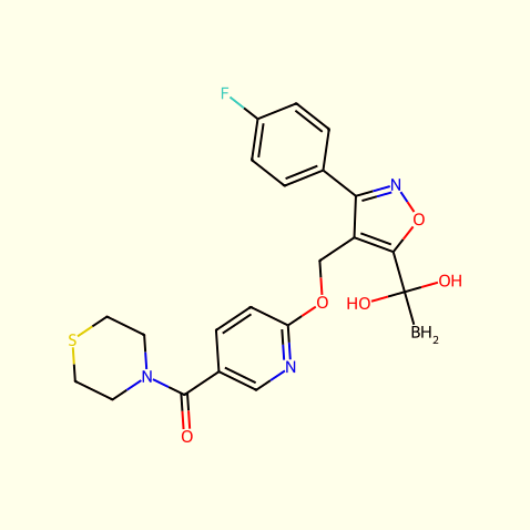 BC(O)(O)c1onc(-c2ccc(F)cc2)c1COc1ccc(C(=O)N2CCSCC2)cn1